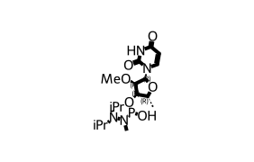 CO[C@@H]1[C@H](OP(O)N(C)N(C(C)C)C(C)C)[C@@H](C)O[C@H]1n1ccc(=O)[nH]c1=O